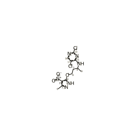 Cc1n[nH]c(OCCC(C)Nc2nc(Cl)ncc2Cl)c1[N+](=O)[O-]